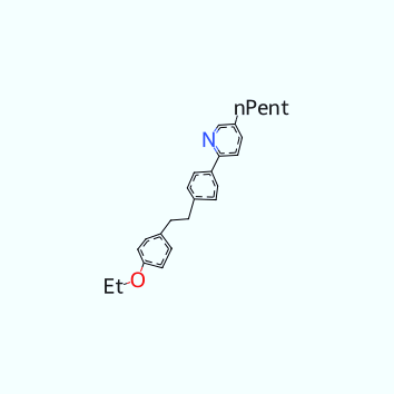 CCCCCc1ccc(-c2ccc(CCc3ccc(OCC)cc3)cc2)nc1